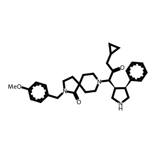 COc1ccc(CN2CCC3(CCN(C(C(=O)CC4CC4)[C@@H]4CNC[C@@H]4c4ccccc4)CC3)C2=O)cc1